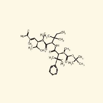 CCC(C)(C)C(NC(=O)[C@@H](N(C)C(=O)OC(C)(C)C)C(C)(C)c1ccccc1)C(=O)N(C)[C@H](/C=C(\C)C(=O)O)C(C)C